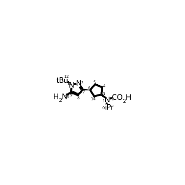 CC(C)N(C(=O)O)C1CC[C@H](c2cc(N)n(C(C)(C)C)n2)C1